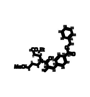 CCOC(=O)CCN(CCCOC)C(=O)C(C)=Cc1ccc(C(=O)OCc2ccccc2)cc1